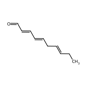 CC/C=C/C/C=C/C=C/[C]=O